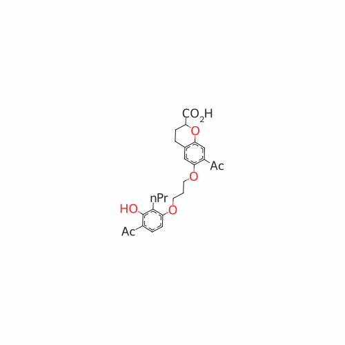 CCCc1c(OCCCOc2cc3c(cc2C(C)=O)OC(C(=O)O)CC3)ccc(C(C)=O)c1O